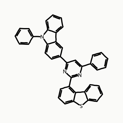 c1ccc(-c2cc(-c3ccc4c(c3)c3ccccc3n4-c3ccccc3)nc(-c3cccc4sc5ccccc5c34)n2)cc1